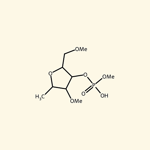 COCC1OC(C)C(OC)C1OP(=O)(O)OC